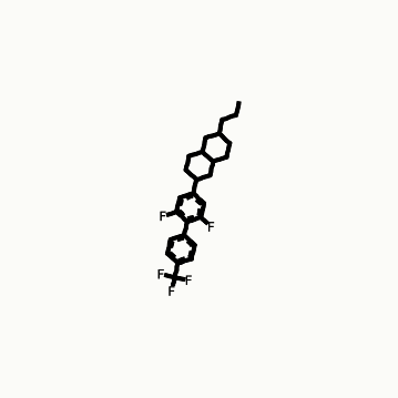 CCCC1CCC2CC(c3cc(F)c(-c4ccc(C(F)(F)F)cc4)c(F)c3)CCC2C1